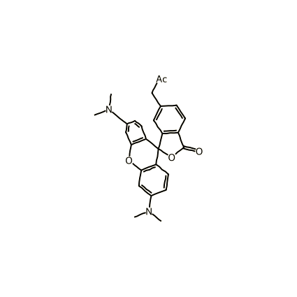 CC(=O)Cc1ccc2c(c1)C1(OC2=O)c2ccc(N(C)C)cc2Oc2cc(N(C)C)ccc21